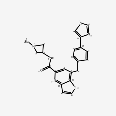 CC(C)(C)N1CC(NC(=O)c2cc(Cc3ccc(-c4cscn4)cc3)c3sccc3n2)C1